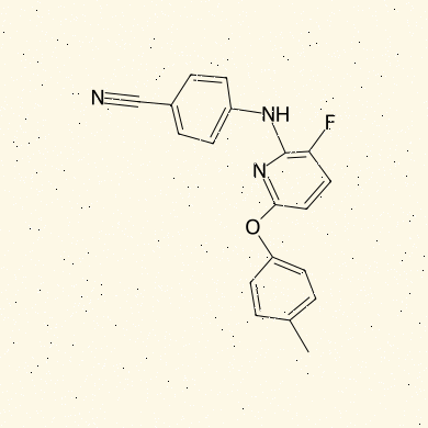 Cc1ccc(Oc2ccc(F)c(Nc3ccc(C#N)cc3)n2)cc1